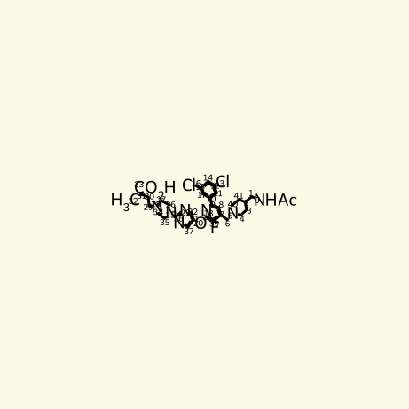 CC(=O)NCC1CCN(Cc2cc(-c3cc(Cl)cc(Cl)c3)nc(Oc3cnc(N4CCN(CCC(C)C(=O)O)CC4)nc3)c2F)CC1